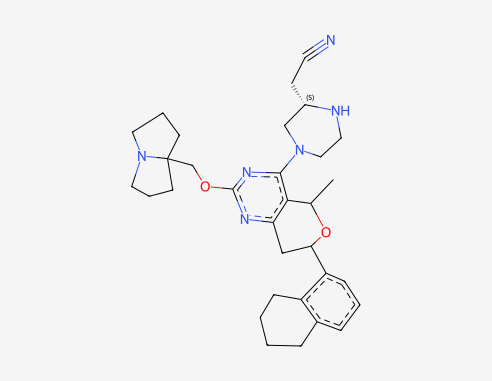 CC1OC(c2cccc3c2CCCC3)Cc2nc(OCC34CCCN3CCC4)nc(N3CCN[C@@H](CC#N)C3)c21